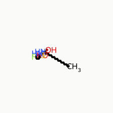 CCCCCCCCCCCCCCC[C@@H](O)[C@H](CO)NC(=S)Nc1cccc(F)c1